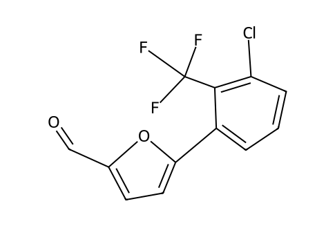 O=Cc1ccc(-c2cccc(Cl)c2C(F)(F)F)o1